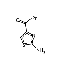 CC(C)C(=O)c1csc(N)n1